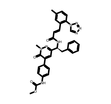 COC(=O)Nc1ccc(-c2cc([C@H](Cc3ccccc3)NC(=O)/C=C/c3cc(C)ccc3-n3cnnn3)nn(C)c2=O)cc1